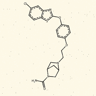 NC(=O)N1CC2CC1CN2CCOc1ccc(Oc2nc3cc(Cl)ccc3s2)cc1